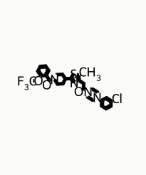 Cc1sc(C2CCN(C(=O)c3ccccc3OC(F)(F)F)CC2)nc1CC(=O)N1CCN(c2cccc(Cl)c2)CC1